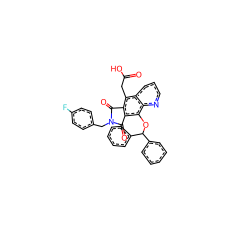 O=C(O)Cc1c2c(c(OC(c3ccccc3)c3ccccc3)c3ncccc13)C(=O)N(Cc1ccc(F)cc1)C2=O